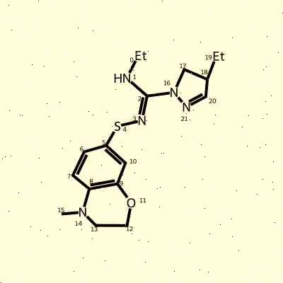 CCN/C(=N\Sc1ccc2c(c1)OCCN2C)N1CC(CC)C=N1